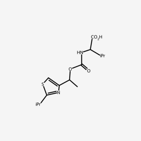 CC(C)c1nc(C(C)OC(=O)NC(C(=O)O)C(C)C)cs1